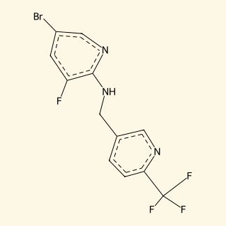 Fc1cc(Br)cnc1NCc1ccc(C(F)(F)F)nc1